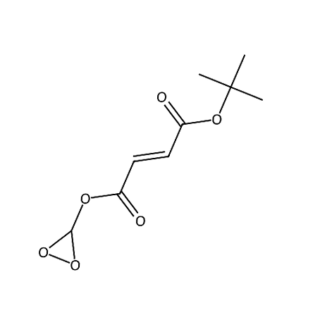 CC(C)(C)OC(=O)/C=C/C(=O)OC1OO1